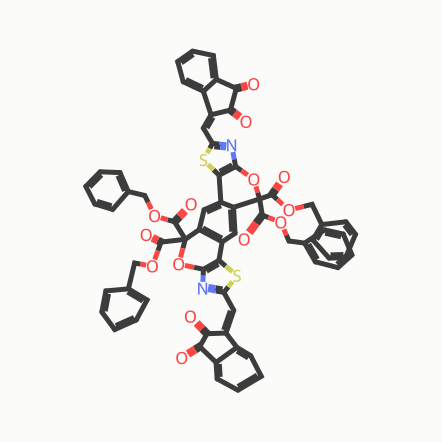 O=C1C(=O)c2ccccc2/C1=C/c1nc2c(s1)-c1cc3c(cc1C(C(=O)OCc1ccccc1)(C(=O)OCc1ccccc1)O2)-c1sc(/C=C2\C(=O)C(=O)c4ccccc42)nc1OC3(C(=O)OCc1ccccc1)C(=O)OCc1ccccc1